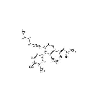 Cn1nc(C(F)(F)F)cc1-c1ccc(C#CCCCO)c(-c2ccc(Cl)c(C(F)(F)F)c2)c1O